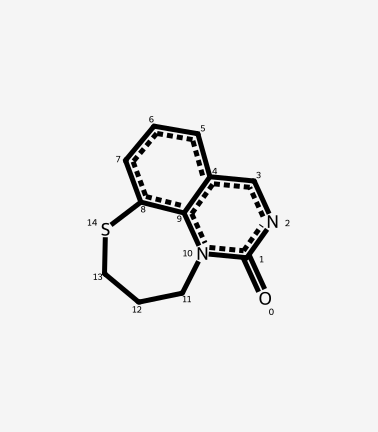 O=c1ncc2cccc3c2n1CCCS3